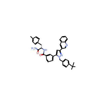 Cc1ccc(C[C@H](NC(=O)c2cccc(-c3cc(-c4cnc5ccccc5c4)nn3Cc3ccc(C(C)(C)C)cc3)c2)C(N)=O)cc1